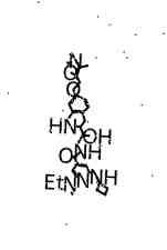 CCN(C)c1cc(C(=O)NCC(O)C2Cc3ccc(OCc4ocnc4C)cc3CN2)cc(NC2CCC2)n1